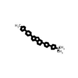 Cc1ccc(-c2ccc(-c3ccc4c(c3)Cc3cc(-c5ccc(-c6ccc(N(C)C)cc6)cc5)ccc3-4)cc2)cc1